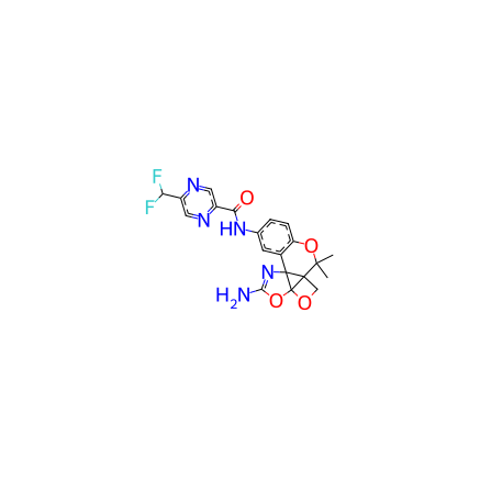 CC1(C)Oc2ccc(NC(=O)c3cnc(C(F)F)cn3)cc2C23N=C(N)OC24OCC143